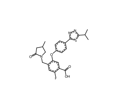 CC1CC(=O)N(Cc2cc(F)c(C(=O)O)cc2Oc2ccc(-c3nnc(C(C)C)s3)cc2)C1